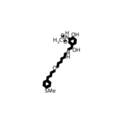 CSc1ccc(CCCCOCCCCCCNCC(O)c2ccc(O)c(NS(C)(=O)=O)c2)cc1